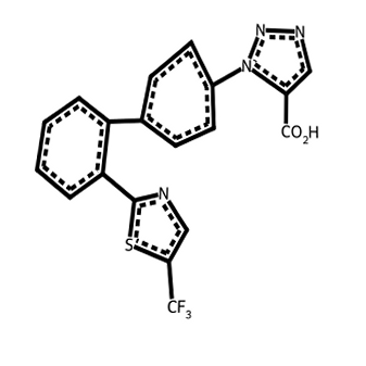 O=C(O)c1cnnn1-c1ccc(-c2ccccc2-c2ncc(C(F)(F)F)s2)cc1